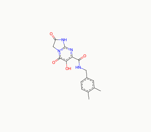 Cc1ccc(CNC(=O)c2nc3n(c(=O)c2O)CC(=O)N3)cc1C